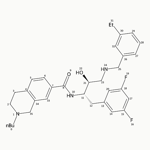 CCCCN1CCc2ccc(C(=O)N[C@@H](Cc3cc(F)cc(F)c3)[C@@H](O)CNCc3cccc(CC)c3)cc2C1